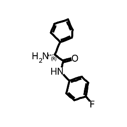 N[C@@H](C(=O)Nc1ccc(F)cc1)c1ccccc1